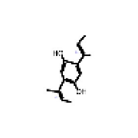 C/C=C(/C)c1cc(O)c(/C(C)=C/C)cc1O